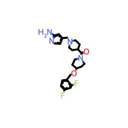 Nc1cc(CN2CCC(C(=O)N3CCC(OCc4ccc(F)cc4F)CC3)CC2)ccn1